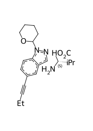 CC(C)[C@H](N)C(=O)O.CCC#Cc1ccc2c(cnn2C2CCCCO2)c1